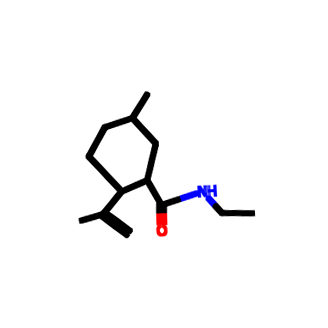 C=C(C)C1CCC(C)CC1C(=O)NCC